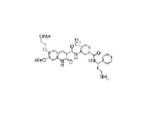 COCCOc1cc2cc(C(=O)Nc3cc(C(=O)N[C@H](CCN)c4ccccc4)ccc3C)c(=O)[nH]c2cc1OC